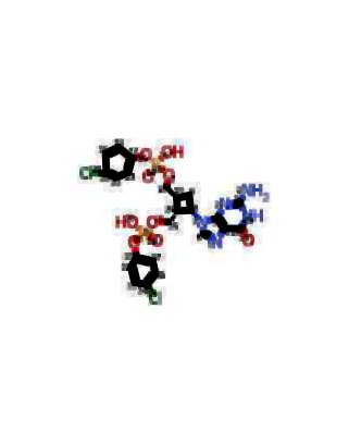 Nc1nc2c(ncn2[C@@H]2C[C@H](COP(=O)(O)Oc3ccc(Cl)cc3)[C@H]2COP(=O)(O)Oc2ccc(Cl)cc2)c(=O)[nH]1